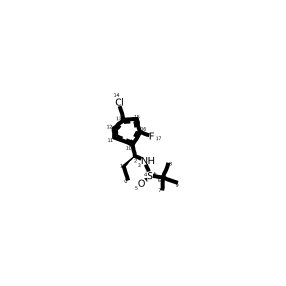 CC[C@H](N[S@+]([O-])C(C)(C)C)c1ccc(Cl)cc1F